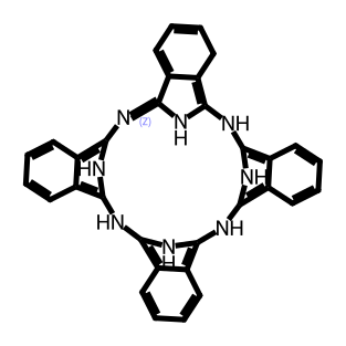 C1=CCc2c3[nH]/c(c2=C1)=N\c1[nH]c(c2ccccc12)Nc1[nH]c(c2ccccc12)Nc1[nH]c(c2ccccc12)N3